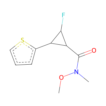 CON(C)C(=O)C1C(F)C1c1cccs1